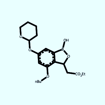 CCCCOc1cc(OC2CCCCO2)cc2c1C(CC(=O)OCC)OB2O